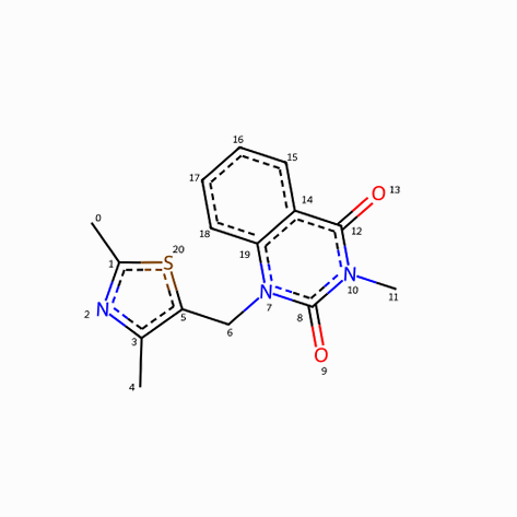 Cc1nc(C)c(Cn2c(=O)n(C)c(=O)c3ccccc32)s1